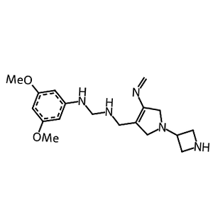 C=NC1=C(CNCNc2cc(OC)cc(OC)c2)CN(C2CNC2)C1